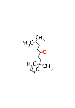 CC(C)CCC(=O)CCC(C)(C)C